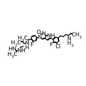 C=C[C@H](N)CCCc1cc(Cl)c(F)c(-c2cc3cn(-c4ccc([C@H](C)N[C@@H](C=C)CCNC(C)=N)c(F)c4)c(=O)nc3[nH]2)c1